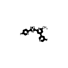 Cc1cc(-c2cncc(F)c2)cc(-c2nc(-c3ccc(F)cn3)no2)n1